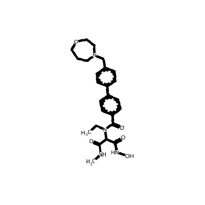 CCN(C(=O)c1ccc(-c2ccc(CN3CCCOCC3)cc2)cc1)C(C(=O)NC)C(=O)NO